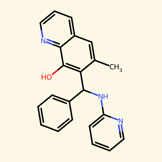 Cc1cc2cccnc2c(O)c1C(Nc1ccccn1)c1ccccc1